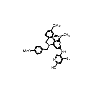 CCc1cc(C#N)ncc1Nc1cc(N(Cc2ccc(OC)cc2)Cc2ccc(OC)cc2)c2ncn(C)c2c1